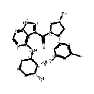 O=C(c1n[nH]c2ncnc(N[C@@H]3CCC[C@@H](O)[C@H]3O)c12)N1C[C@@H](F)C[C@@H]1c1cc(F)cc(F)c1